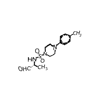 Cc1ccc(N2CCN(S(=O)(=O)N[C@H](C)C=O)CC2)cc1